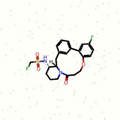 O=C1CCOc2ccc(F)cc2-c2cccc(c2)C[C@H]2[C@@H](NS(=O)(=O)CF)CCCN12